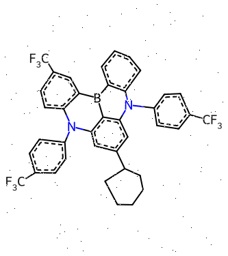 FC(F)(F)c1ccc(N2c3ccccc3B3c4cc(C(F)(F)F)ccc4N(c4ccc(C(F)(F)F)cc4)c4cc(C5CCCCC5)cc2c43)cc1